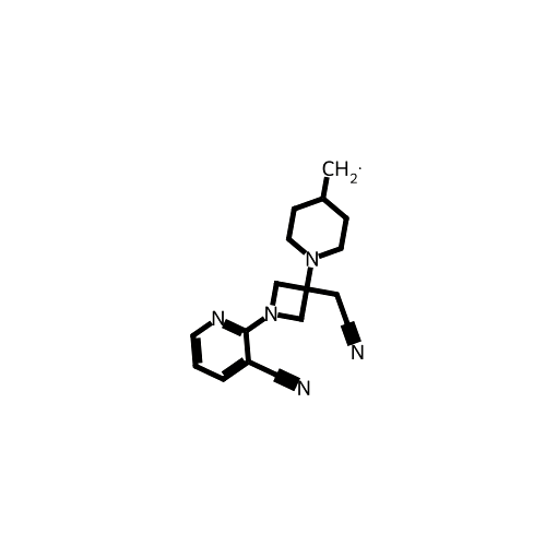 [CH2]C1CCN(C2(CC#N)CN(c3ncccc3C#N)C2)CC1